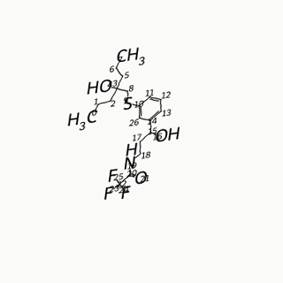 CCCC(O)(CCC)CSc1cccc(C(O)CCNC(=O)C(F)(F)F)c1